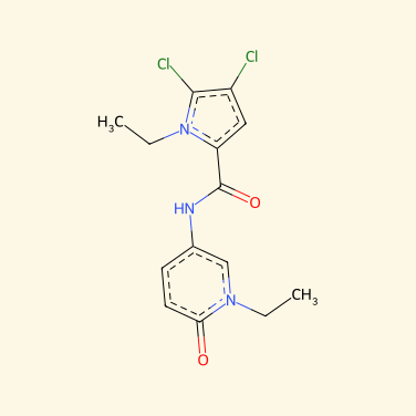 CCn1c(C(=O)Nc2ccc(=O)n(CC)c2)cc(Cl)c1Cl